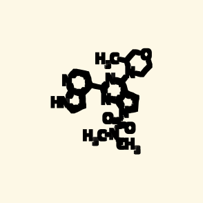 CC1COCCN1c1nc(-c2ccnc3[nH]ccc23)nc2c1ccn2S(=O)(=O)N(C)C